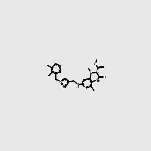 C=C(OC)[C@H]1C(=O)Nc2c(cc(NCc3cnn(Cc4cccc(F)c4F)c3)nc2C)N1C